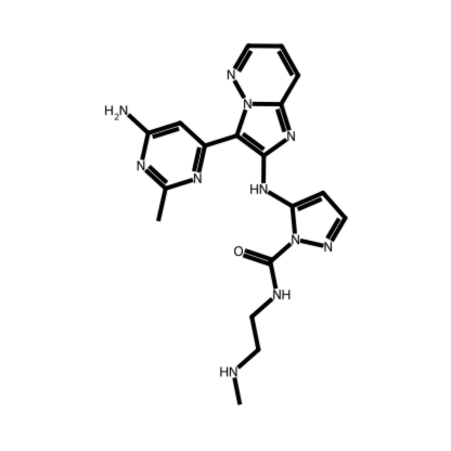 CNCCNC(=O)n1nccc1Nc1nc2cccnn2c1-c1cc(N)nc(C)n1